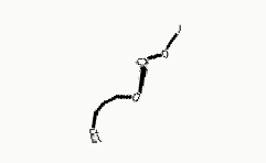 CCCOOOI